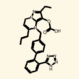 CCCC1=CCn2nc(CC)c(OC(=O)O)c2N1Cc1ccc(-c2ccccc2-c2nnn[nH]2)cc1